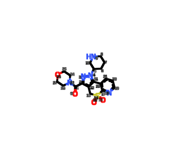 O=C(c1nn(C2CCCNC2)c2c1CS(=O)(=O)c1ncccc1-2)N1CCOCC1